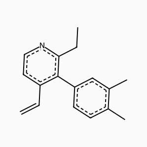 C=Cc1ccnc(CC)c1-c1ccc(C)c(C)c1